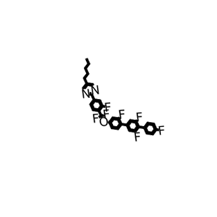 CCCCCc1cnc(-c2ccc(C(F)(F)Oc3ccc(-c4cc(F)c(-c5ccc(F)cc5)c(F)c4)c(F)c3)c(F)c2)nc1